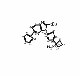 CC(C)(C)c1nc2cnc(-c3ccccc3)nc2n1-c1ccc(C2(N)CCC2)cc1